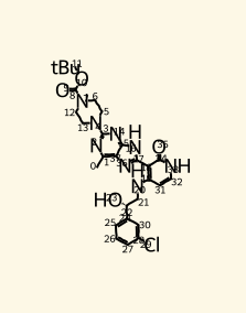 Cc1nc(N2CCN(C(=O)OC(C)(C)C)CC2)nc2[nH]c(-c3c(NC[C@@H](O)c4cccc(Cl)c4)cc[nH]c3=O)nc12